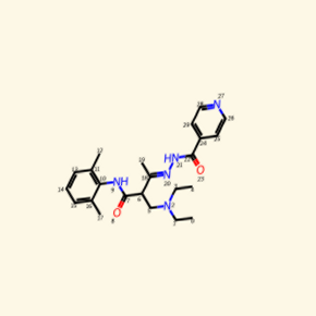 CCN(CC)CC(C(=O)Nc1c(C)cccc1C)/C(C)=N/NC(=O)c1ccncc1